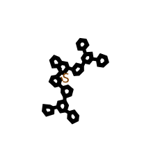 c1ccc(-c2cc(-c3ccccc3)cc(-c3cccc(-c4cccc5c4sc4c(-c6cccc(-c7cc(-c8ccccc8)cc(-c8ccccc8)c7)c6)cc6ccccc6c45)c3)c2)cc1